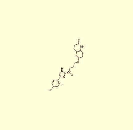 Cc1cc(Br)ccc1-c1c[nH]c([S@@+]([O-])CCCOc2ccc3c(c2)CCC(=O)N3)n1